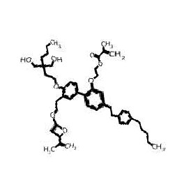 C=C(C)C(=O)OCCOc1cc(CCc2ccc(CCCCC)cc2)ccc1-c1ccc(OCCC(CO)(CO)CCCC)c(CCOC2CC(C(=C)C)O2)c1